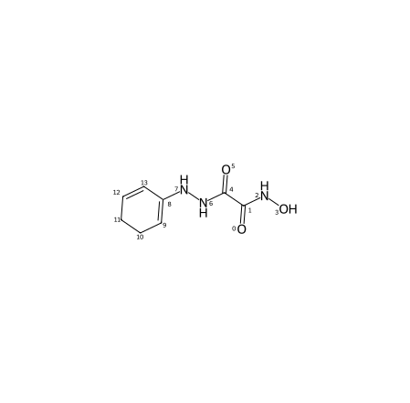 O=C(NO)C(=O)NNC1=CCCC=C1